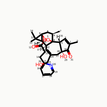 CC1=C[C@H]2[C@@]3(O)[C@H](C)C[C@]4(OC(=O)CCc5ccccn5)[C@@H]([C@@H]3C=C(CO)C[C@]2(O)C1=O)C4(C)C